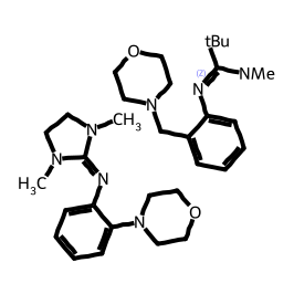 CN/C(=N\c1ccccc1CN1CCOCC1)C(C)(C)C.CN1CCN(C)C1=Nc1ccccc1N1CCOCC1